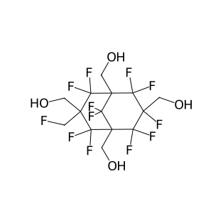 OCC1(F)C(F)(F)C2(CO)C(F)(F)C(CO)(CF)C(F)(F)C(CO)(C1(F)F)C2(F)F